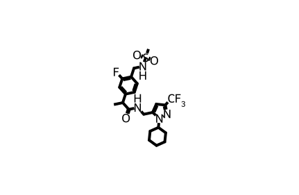 CC(C(=O)NCc1cc(C(F)(F)F)nn1C1CCCCC1)c1ccc(CNS(C)(=O)=O)c(F)c1